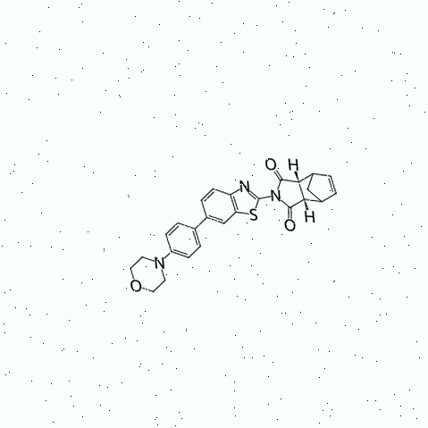 O=C1[C@@H]2C3C=CC(C3)[C@@H]2C(=O)N1c1nc2ccc(-c3ccc(N4CCOCC4)cc3)cc2s1